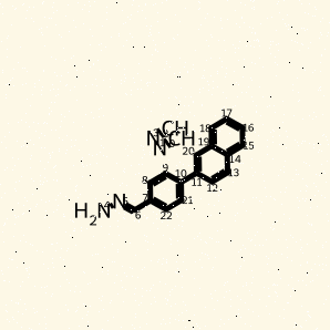 C#N.C#N.NN=Cc1ccc(-c2ccc3ccccc3c2)cc1